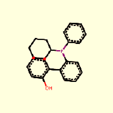 Oc1ccccc1-c1ccccc1P(c1ccccc1)C1CCCCC1